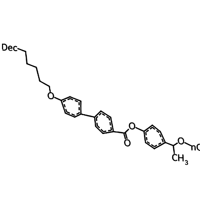 CCCCCCCCCCCCCCCOc1ccc(-c2ccc(C(=O)Oc3ccc(C(C)OCCCCCCCC)cc3)cc2)cc1